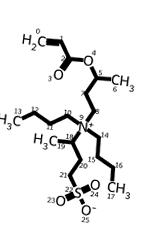 C=CC(=O)OC(C)CC[N+](CCCC)(CCCC)C(C)CCS(=O)(=O)[O-]